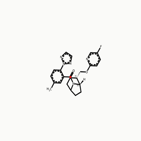 Cc1ccc(-n2nccn2)c(C(=O)N2C3CC[C@H](COc4ccc(F)cn4)[C@@H]2CC3)c1